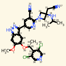 COc1cc2[nH]nc(-c3cnc(N4CC(CC#N)(NC(C)C)C4)c(C#N)c3)c2cc1O[C@H](C)c1c(Cl)cncc1Cl